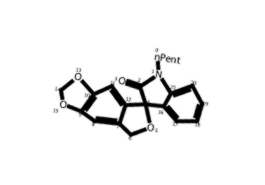 CCCCCN1C(=O)C2(OCc3cc4c(cc32)OCO4)c2ccccc21